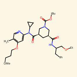 CCOCC(CC(C)C)NC(=O)[C@H]1C[C@@H](C(=O)N(c2cc(OCCCOC)c(C)cn2)C2CC2)CN(C(=O)OC(C)(C)C)C1